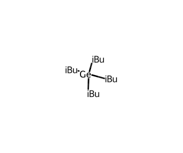 CC[CH](C)[Ge]([CH](C)CC)([CH](C)CC)[CH](C)CC